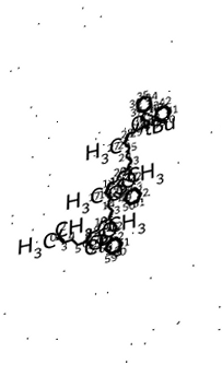 CC(C)=CCC/C(C)=C/C(C/C(C)=C\CC/C(C)=C\C(C/C(C)=C\CC/C(C)=C\CO[Si](c1ccccc1)(c1ccccc1)C(C)(C)C)S(=O)(=O)c1ccccc1)S(=O)(=O)c1ccccc1